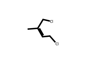 CC(=CCCl)CCl